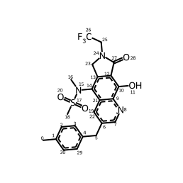 Cc1ccc(Cc2cnc3c(O)c4c(c(N(C)S(C)(=O)=O)c3c2)CN(CC(F)(F)F)C4=O)cc1